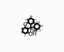 Oc1cccc2c1C(O)(c1ccccc1)c1ccccc1O2